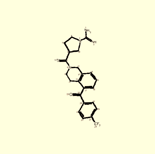 N=C(N)N1CCC(C(=O)N2CCc3c(cccc3C(=O)c3ccc(C(F)(F)F)cc3)C2)C1